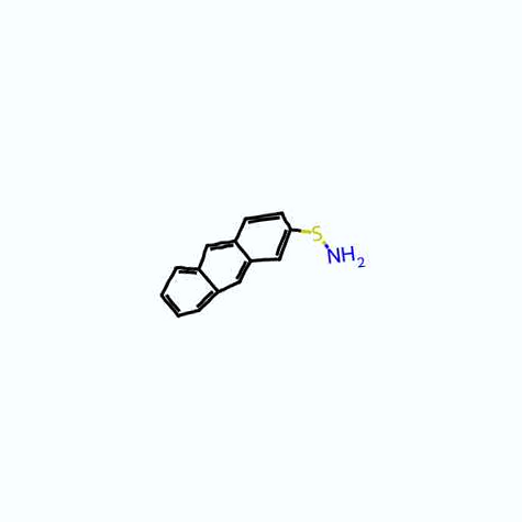 NSc1ccc2cc3ccccc3cc2c1